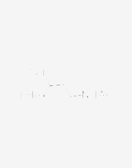 CCCCCCCCC(CCCCCC)CCNC(C)=O